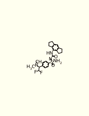 CN(C)C(c1ccc(S(N)(=O)=NC(=O)Nc2c3c(cc4c2CCC4)CCC3)cc1)C(F)F